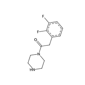 O=C(Cc1cccc(F)c1F)N1CCNCC1